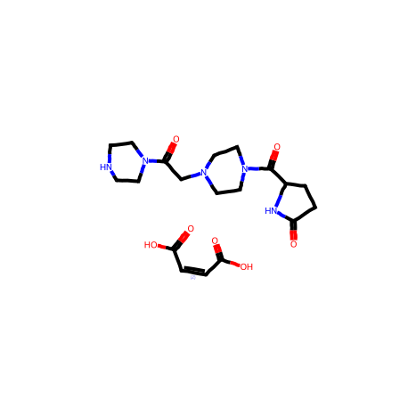 O=C(O)/C=C\C(=O)O.O=C1CCC(C(=O)N2CCN(CC(=O)N3CCNCC3)CC2)N1